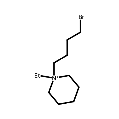 CC[N+]1(CCCCBr)CCCCC1